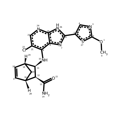 COc1ncc(-c2nc3c(N[C@H]4[C@@H](C(N)=O)[C@@H]5C=C[C@H]4C5)c(Cl)cnc3[nH]2)s1